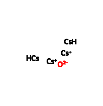 [Cs+].[Cs+].[CsH].[CsH].[O-2]